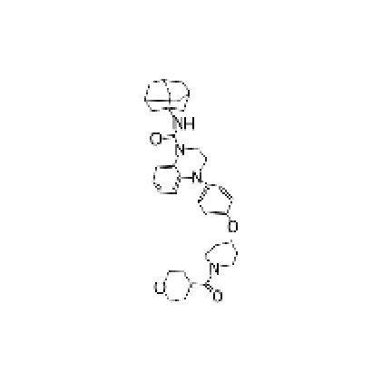 O=C(C1CCOCC1)N1CCC(Oc2ccc(N3CCN(C(=O)NC45CC6CC(CC(C6)C4)C5)c4ccccc43)cc2)CC1